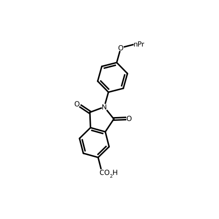 CCCOc1ccc(N2C(=O)c3ccc(C(=O)O)cc3C2=O)cc1